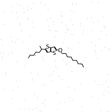 CC[CH]CCC(C)c1cc2sc(OCCCCCCCCC)cc2s1